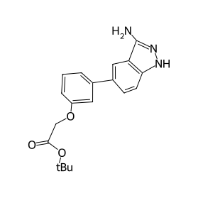 CC(C)(C)OC(=O)COc1cccc(-c2ccc3[nH]nc(N)c3c2)c1